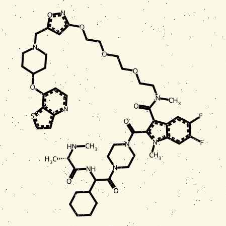 CN[C@@H](C)C(=O)NC(C(=O)N1CCN(C(=O)c2c(C(=O)N(C)CCOCCOCCOc3cc(CN4CCC(Oc5ccnc6ccsc56)CC4)on3)c3cc(F)c(F)cc3n2C)CC1)C1CCCCC1